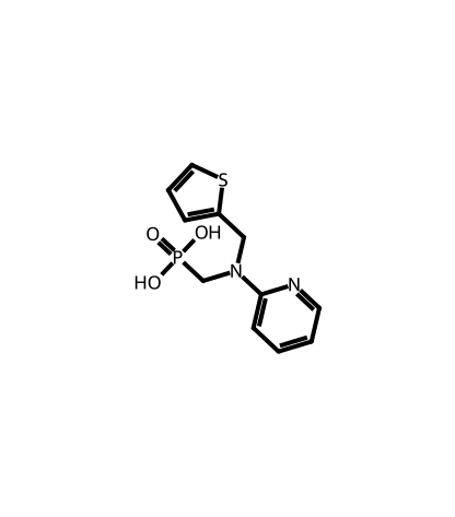 O=P(O)(O)CN(Cc1cccs1)c1ccccn1